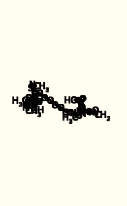 C=CC(=O)N1CCN(c2nc(O[C@H](C)CN3CCC(OCCOCCOCCOCCOCCOc4cc(-c5scnc5C)ccc4CNC(=O)[C@@H]4C[C@@H](O)CN4C(=O)[C@H](c4cc(C)no4)C(C)C)CC3)nc3c2CCN(c2cc(O)cc4ccccc24)C3)CC1